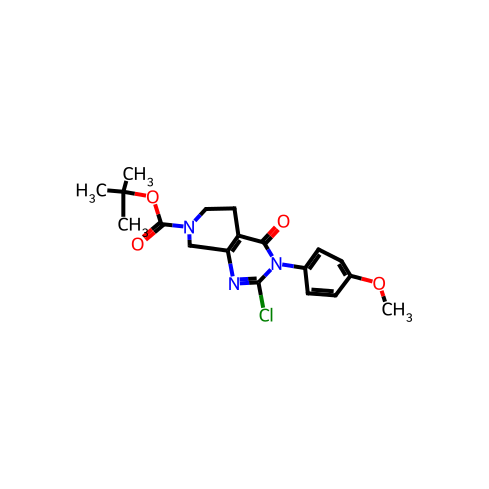 COc1ccc(-n2c(Cl)nc3c(c2=O)CCN(C(=O)OC(C)(C)C)C3)cc1